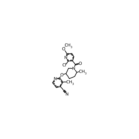 COc1ccc(C(=O)N2CC(Oc3nccc(C#N)c3C)CCC2C)c(Cl)n1